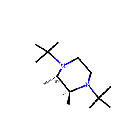 C[C@H]1[C@H](C)N(C(C)(C)C)CCN1C(C)(C)C